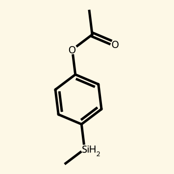 C[SiH2]c1ccc(OC(C)=O)cc1